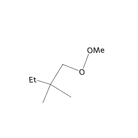 CCC(C)(C)COOC